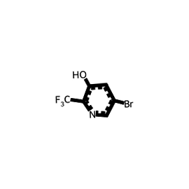 Oc1cc(Br)cnc1C(F)(F)F